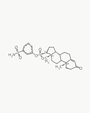 C[C@]12CCC(=O)C=C1CCC1C2CC[C@@]2(C)C1CC[C@@H]2S(=O)(=O)Oc1cccc(S(N)(=O)=O)c1